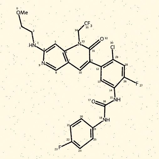 COCCNc1cc2c(cn1)cc(-c1cc(NC(=O)Nc3ccc(F)cc3)c(F)cc1Cl)c(=O)n2CC(F)(F)F